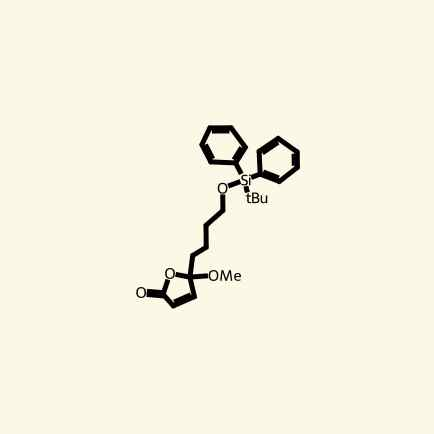 COC1(CCCCO[Si](c2ccccc2)(c2ccccc2)C(C)(C)C)C=CC(=O)O1